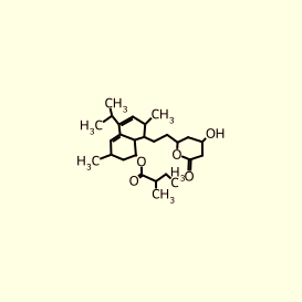 CCC(C)C(=O)OC1CC(C)C=C2C(C(C)C)=CC(C)C(CCC3CC(O)CC(=O)O3)C21